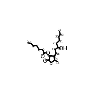 CCCCCCC(=O)OC1C(=O)CC(C)C1CCC(O)CCCCC